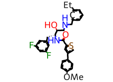 CCc1cccc(CNC[C@H](O)[C@@H](Cc2cc(F)cc(F)c2)NC(=O)c2cc(-c3ccc(OC)cc3)cs2)c1